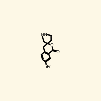 CC(C)c1ccc2c(c1)C(=O)OC1(CCNCC1)C2